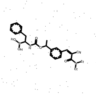 CCN(CC)C(=O)C(C#N)=Cc1cccc(C(C)OC(=O)NC(Cc2ccccc2)B(O)O)c1